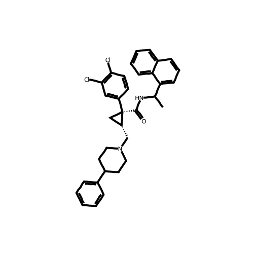 CC(NC(=O)[C@@]1(c2ccc(Cl)c(Cl)c2)C[C@H]1CN1CCC(c2ccccc2)CC1)c1cccc2ccccc12